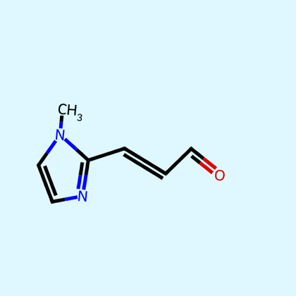 Cn1ccnc1/C=C/C=O